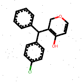 OC1=C(C(c2ccccc2)c2ccc(Cl)cc2)COC=C1